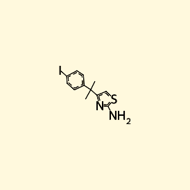 CC(C)(c1ccc(I)cc1)c1csc(N)n1